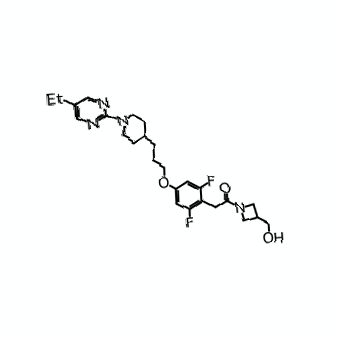 CCc1cnc(N2CCC(CCCOc3cc(F)c(CC(=O)N4CC(CO)C4)c(F)c3)CC2)nc1